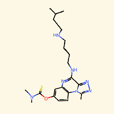 Cc1nnc2c(NCCCCNCCC(C)C)nc3cc(OC(=S)N(C)C)ccc3n12